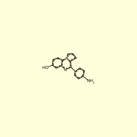 Nc1ccc(-c2nc3cc(O)ccc3n3cccc23)cc1